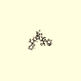 CNC(=O)c1c(-c2ccc(F)cc2)oc2cc(N(C)S(C)(=O)=O)c(-c3ccc4c(c3)-c3nc5ccccc5n3CO4)cc12